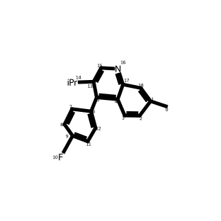 Cc1ccc2c(-c3ccc(F)cc3)c(C(C)C)cnc2c1